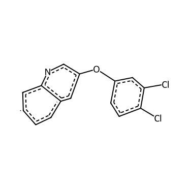 Clc1ccc(Oc2cnc3c[c]ccc3c2)cc1Cl